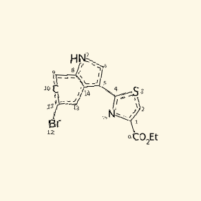 CCOC(=O)c1csc(-c2c[nH]c3ccc(Br)cc23)n1